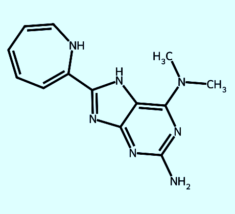 CN(C)c1nc(N)nc2nc(C3=CC=CC=CN3)[nH]c12